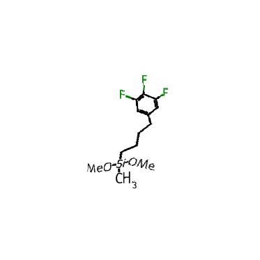 CO[Si](C)(CCCCc1cc(F)c(F)c(F)c1)OC